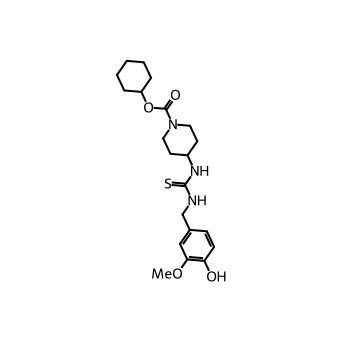 COc1cc(CNC(=S)NC2CCN(C(=O)OC3CCCCC3)CC2)ccc1O